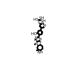 CCC[C@]1(C)CCC[C@H](F)[C@H](N(C)c2cnc(-c3ccc(-c4cnnc(SC(S)(S)S)c4)cc3O)nn2)C1